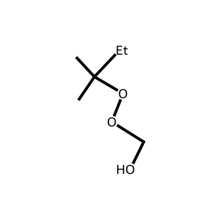 CCC(C)(C)OOCO